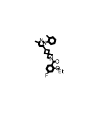 CCOc1cc(F)ccc1C(=O)N1CC2(CC(c3cc(C)nn3-c3ccccc3C)C2)C1